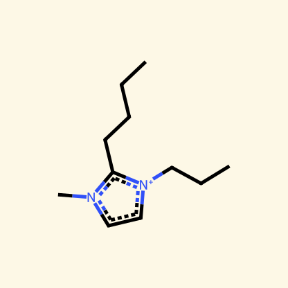 CCCCc1n(C)cc[n+]1CCC